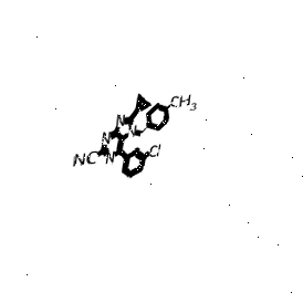 C[C@H]1CC[C@H](Cn2c(C3CC3)nc3nc(C#N)nc(-c4cccc(Cl)c4)c32)CC1